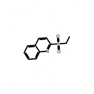 CCS(=O)(=O)c1ccc2ccccc2n1